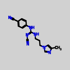 Cc1cn(CCCNC(=NC#N)Nc2ccc(C#N)cc2)cn1